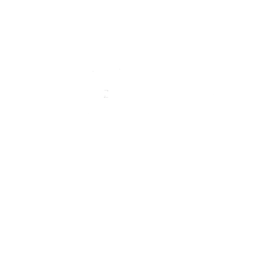 C1=CC[C]([Zr]2([CH]3c4ccccc4-c4ccccc43)[CH2][CH2]2)=C1